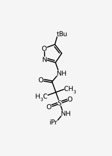 CC(C)NS(=O)(=O)C(C)(C)C(=O)Nc1cc(C(C)(C)C)on1